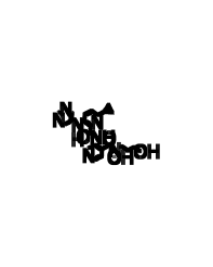 O=C(Nc1cnccc1C(=O)N(O)CCCO)c1nc(C2CC2)ccc1Nc1cncnc1